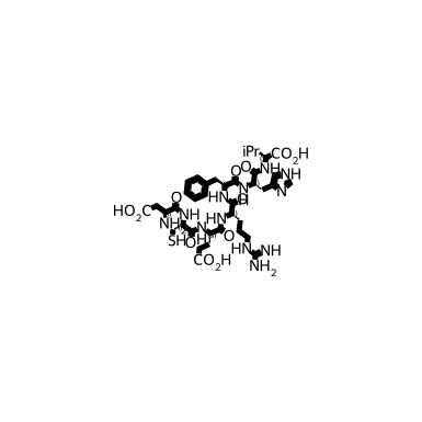 CC(C)[C@H](NC(=O)[C@H](Cc1c[nH]cn1)NC(=O)[C@H](Cc1ccccc1)NC(=O)[C@H](CCCNC(=N)N)NC(=O)[C@H](CCC(=O)O)NC(=O)[C@H](CS)NC(=O)[C@@H](N)CC(=O)O)C(=O)O